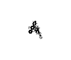 C[C@@H]1CN(C2=CC(F)=C(c3ccccc3)CC2(C=O)NC(=O)c2cnc(OCC[Si](C)(C)C)cc2C(F)(F)F)C[C@H](C)N1C